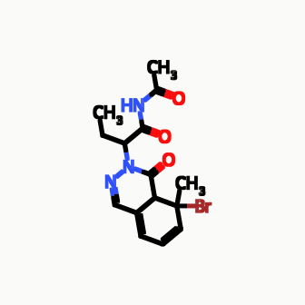 CCC(C(=O)NC(C)=O)N1N=CC2=CC=CC(C)(Br)C2C1=O